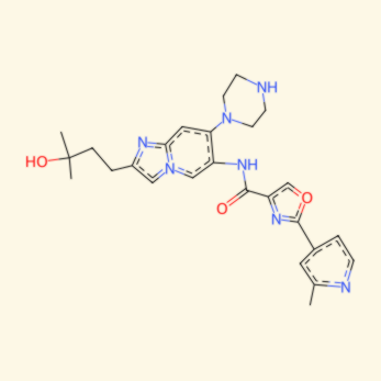 Cc1cc(-c2nc(C(=O)Nc3cn4cc(CCC(C)(C)O)nc4cc3N3CCNCC3)co2)ccn1